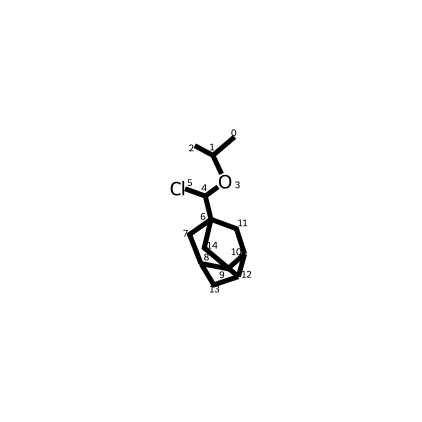 CC(C)OC(Cl)C12CC3CC(C1)C(C3)C2